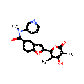 Cc1c(-c2cc3cc(C(=O)N(C)c4cccnc4)ccc3o2)oc(=O)c(C)c1O